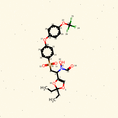 CCC1(CC)OC=C(C(CS(=O)(=O)c2ccc(Oc3ccc(OC(F)(F)F)cc3)cc2)N(O)C=O)O1